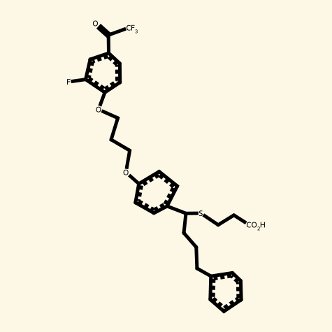 O=C(O)CCSC(CCCc1ccccc1)c1ccc(OCCCOc2ccc(C(=O)C(F)(F)F)cc2F)cc1